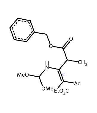 CCOC(=O)/C(C(C)=O)=C(\NC(OC)OC)C(C)C(=O)OCc1ccccc1